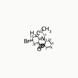 CC(C)CN(c1ccccc1)C1CCC(Br)CC1[N+](=O)[O-]